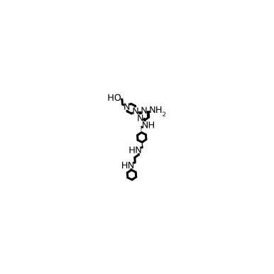 Nc1cc(NC[C@H]2CC[C@H](CNCCCNC3CCCCC3)CC2)nc(N2CCN(CCO)CC2)n1